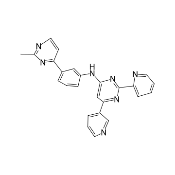 Cc1nccc(-c2cccc(Nc3cc(-c4cccnc4)nc(-c4ccccn4)n3)c2)n1